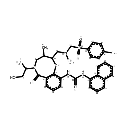 CC1CN(C(C)CO)C(=O)c2cccc(NC(=O)Nc3cccc4ccccc34)c2OC1CN(C)CS(=O)(=O)c1ccc(F)cc1